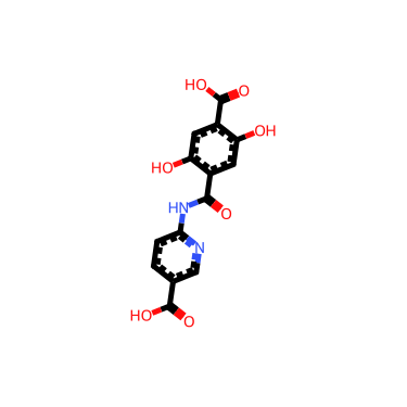 O=C(O)c1ccc(NC(=O)c2cc(O)c(C(=O)O)cc2O)nc1